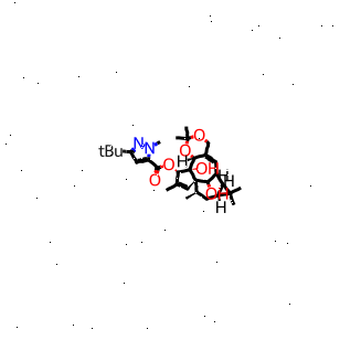 CC1=C[C@]23C(O)[C@@H](C=C4COC(C)(C)O[C@H]4[C@]2(O)[C@H]1OC(=O)c1cc(C(C)(C)C)nn1C)[C@H]1[C@@H](C[C@H]3C)C1(C)C